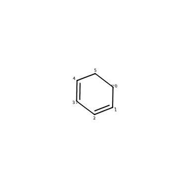 [C]1[C]=C[C]=CC1